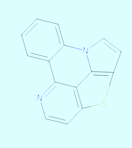 c1ccc2c(c1)c1nccc3sc4ccn2c4c31